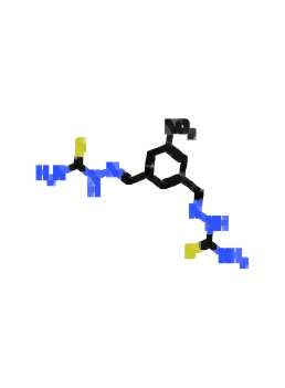 NC(=S)NN=Cc1cc(C=NNC(N)=S)cc([N+](=O)[O-])c1